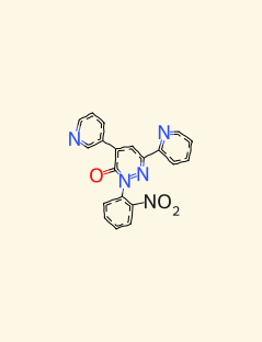 O=c1c(-c2cccnc2)cc(-c2ccccn2)nn1-c1ccccc1[N+](=O)[O-]